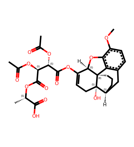 COc1ccc2c3c1O[C@@H]1C(OC(=O)[C@@H](OC(C)=O)[C@H](OC(C)=O)C(=O)O[C@@H](C)C(=O)O)=CC[C@]4(O)[C@@H](CCC[C@@]314)C2